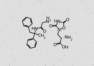 CC(Cc1ccccc1)(NC(=O)CN)c1ccccc1.N[C@@H](Cn1oc(=O)[nH]c1=O)C(=O)O